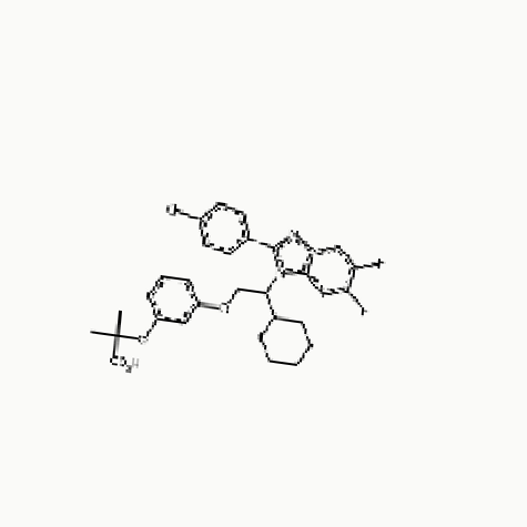 CC(C)(Oc1cccc(OCC(C2CCCCC2)n2c(-c3ccc(Cl)cc3)nc3cc(F)c(F)cc32)c1)C(=O)O